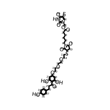 O=C(CCCCCN1C(=O)CC(SCCOCCOCCOc2cc(O)c(C(=O)CCc3ccc(O)cc3)c(O)c2)C1=O)OCn1cc(F)c(=O)[nH]c1=O